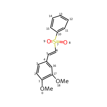 COc1ccc(C=CS(=O)(=O)c2ccccc2)cc1OC